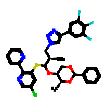 CO[C@@H](Cn1cc(-c2cc(F)c(F)c(F)c2)nn1)C(OC1COC(c2ccccc2)O[C@@H]1C)Sc1cc(Cl)cnc1-c1ccccn1